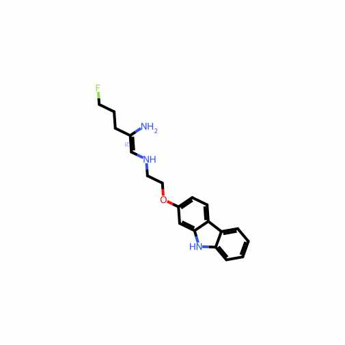 N/C(=C\NCCOc1ccc2c(c1)[nH]c1ccccc12)CCCF